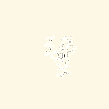 CN(C)C1CN(C(=O)[C@H]2CCc3c(-c4ccc(C(=O)O)cc4F)nn(C(=O)c4c(Cl)cccc4C4(C(F)(F)F)CC4)c3C2)C1